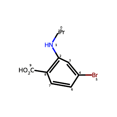 CC(C)Nc1cc(Br)ccc1C(=O)O